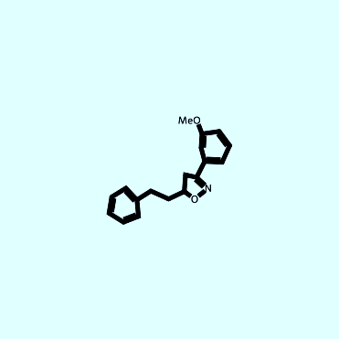 COc1cccc(C2=NOC(CCc3ccccc3)C2)c1